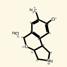 Cc1cc2c(cc1Cl)C1CNCC1OC2.Cl